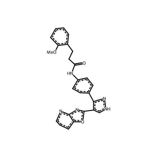 COc1ccccc1CCC(=O)Nc1ccc(-c2n[nH]cc2-c2nc3ncccc3o2)cc1